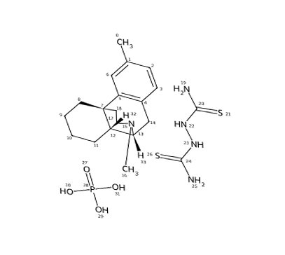 Cc1ccc2c(c1)[C@@]13CCCC[C@H]1[C@@H](C2)N(C)CC3.NC(=S)NNC(N)=S.O=P(O)(O)O